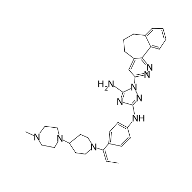 C/C=C(\c1ccc(Nc2nc(N)n(-c3cc4c(nn3)-c3ccccc3CCC4)n2)cc1)N1CCC(N2CCN(C)CC2)CC1